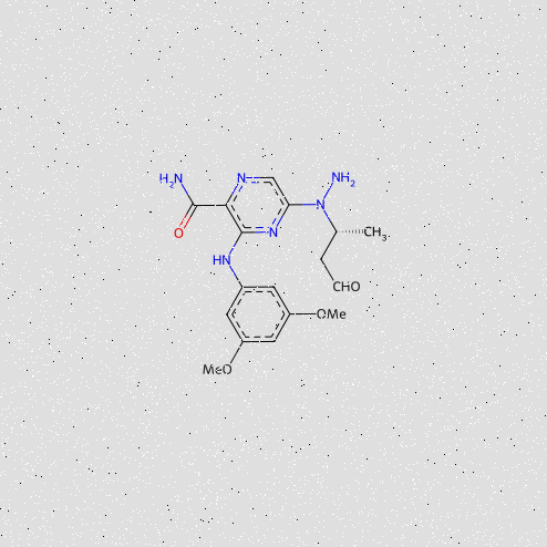 COc1cc(Nc2nc(N(N)[C@H](C)CC=O)cnc2C(N)=O)cc(OC)c1